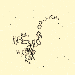 CCCCCCCOc1ccc(-c2cnc(-c3ccc(C[C@H](NC(=O)c4ccc(C(C)(C)C)cc4)C(=O)N[C@H](C(=O)O)[C@@H](C)CC)cc3)nc2)cc1